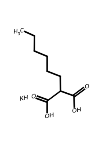 CCCCCCC(C(=O)O)C(=O)O.[KH]